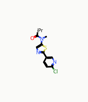 CC(C)C(=O)N(C)c1cnc(-c2ccc(Cl)nc2)s1